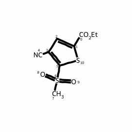 CCOC(=O)c1cc(C#N)c(S(C)(=O)=O)s1